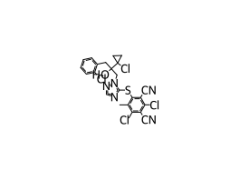 Cc1c(Cl)c(C#N)c(Cl)c(C#N)c1Sc1ncnn1CC(O)(Cc1ccccc1Cl)C1(Cl)CC1